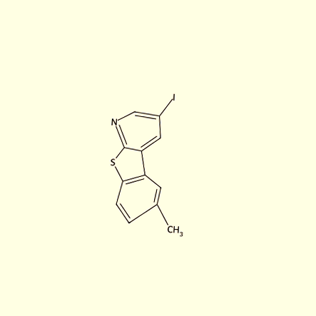 Cc1ccc2sc3ncc(I)cc3c2c1